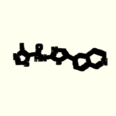 Cc1ncsc1C(=O)Nc1ncc(-c2ccc3cnccc3c2)s1